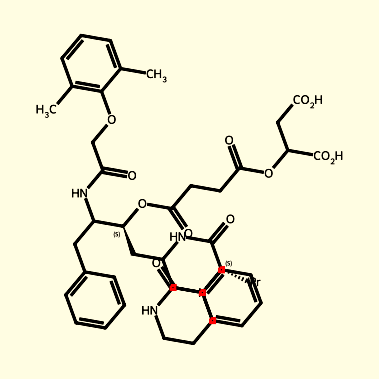 Cc1cccc(C)c1OCC(=O)NC(Cc1ccccc1)[C@H](CC(Cc1ccccc1)NC(=O)[C@H](C(C)C)N1CCCNC1=O)OC(=O)CCC(=O)OC(CC(=O)O)C(=O)O